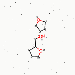 C1CCOC1.OCC1CCCO1